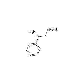 CCCCCCC(N)c1ccccc1